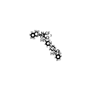 O=C(Nc1ccc(N2CCN(C(=O)Nc3ccccc3F)CC2)nc1)c1oc(N2CCc3ccccc3C2)nc1C(F)(F)F